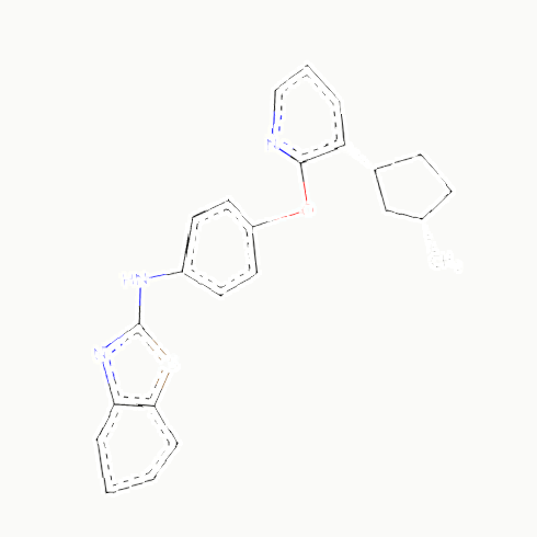 C[C@H]1CC[C@@H](c2cccnc2Oc2ccc(Nc3nc4ccccc4s3)cc2)C1